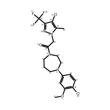 COc1cc(N2CCCN(C(=O)Cn3nc(C(F)(F)F)c(Cl)c3C)CC2)ccc1Cl